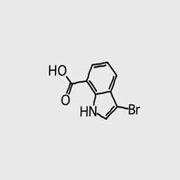 O=C(O)c1cccc2c(Br)c[nH]c12